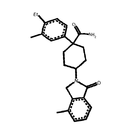 CCc1ccc(C2(C(N)=O)CCC(N3Cc4c(C)cccc4C3=O)CC2)cc1C